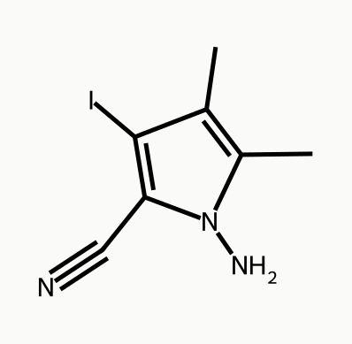 Cc1c(I)c(C#N)n(N)c1C